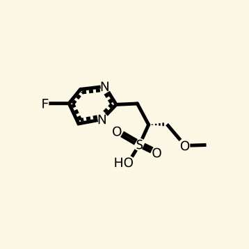 COC[C@@H](Cc1ncc(F)cn1)S(=O)(=O)O